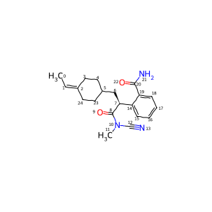 CC=C1CCC(C[C@H](C(=O)N(C)C#N)c2ccccc2C(N)=O)CC1